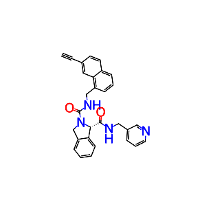 C#Cc1ccc2cccc(CNC(=O)N3Cc4ccccc4[C@H]3C(=O)NCc3cccnc3)c2c1